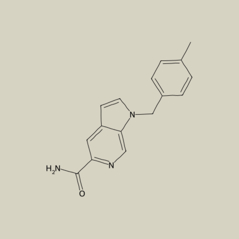 Cc1ccc(Cn2ccc3cc(C(N)=O)ncc32)cc1